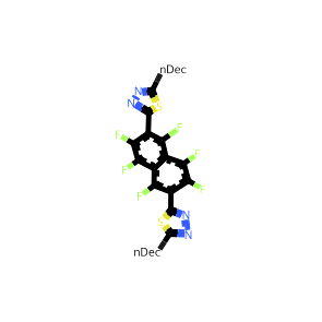 CCCCCCCCCCc1nnc(-c2c(F)c(F)c3c(F)c(-c4nnc(CCCCCCCCCC)s4)c(F)c(F)c3c2F)s1